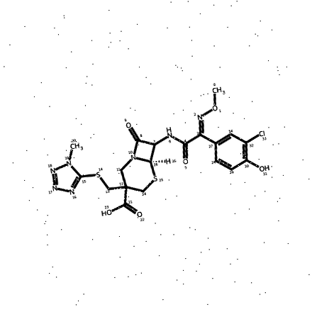 CON=C(C(=O)NC1C(=O)N2CC(CSc3nnnn3C)(C(=O)O)CS[C@H]12)c1ccc(O)c(Cl)c1